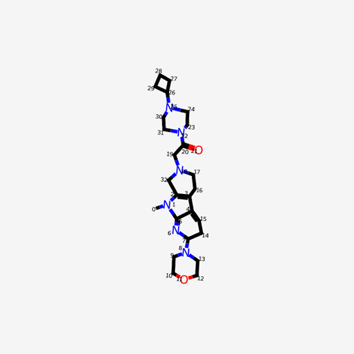 Cn1c2c(c3c1=NC(N1CCOCC1)CC=3)CCN(CC(=O)N1CCN(C3CCC3)CC1)C2